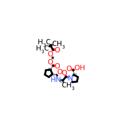 C[C@H](NC(=O)[C@@H]1CCC[C@@H]1C(=O)OCOC(=O)C(C)(C)C)C(=O)N1CCC[C@H]1C(=O)O